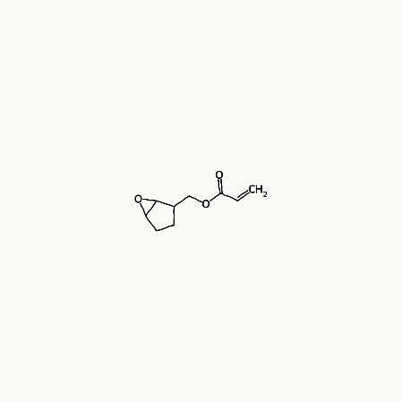 C=CC(=O)OCC1CCC2OC12